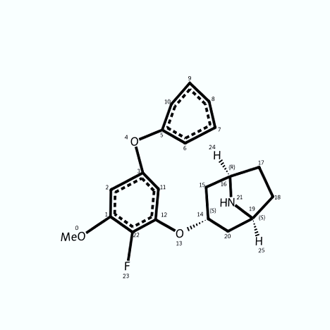 COc1cc(Oc2ccccc2)cc(O[C@@H]2C[C@H]3CC[C@@H](C2)N3)c1F